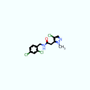 Cn1ncc(Cl)c1CC(=O)NCc1ccc(Cl)cc1Cl